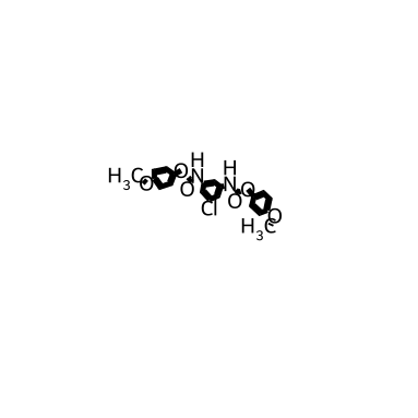 COc1ccc(OC(=O)Nc2cc(Cl)cc(NC(=O)Oc3ccc(OC)cc3)c2)cc1